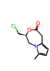 Cc1ccc2n1C[C@@H](CCl)OC(=O)C2